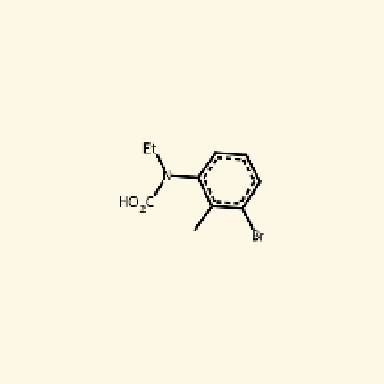 CCN(C(=O)O)c1cccc(Br)c1C